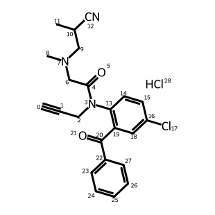 C#CCN(C(=O)CN(C)CC(C)C#N)c1ccc(Cl)cc1C(=O)c1ccccc1.Cl